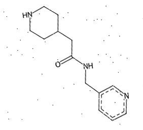 O=C(CC1CCNCC1)NCc1cccnc1